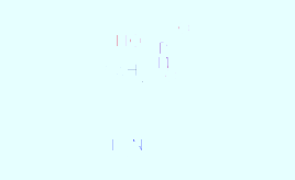 NCCO[PH](=O)O.[CaH2]